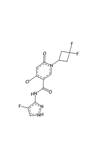 O=C(Nc1n[nH]cc1F)c1cn(C2CC(F)(F)C2)c(=O)cc1Cl